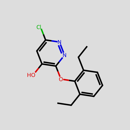 CCc1cccc(CC)c1Oc1nnc(Cl)cc1O